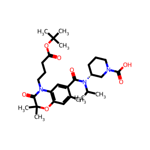 Cc1cc2c(cc1C(=O)N(C(C)C)[C@@H]1CCCN(C(=O)O)C1)N(CCCC(=O)OC(C)(C)C)C(=O)C(C)(C)O2